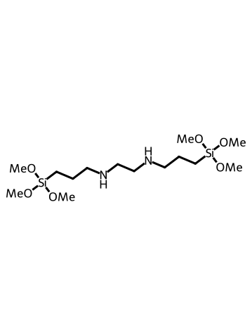 CO[Si](CCCNCCNCCC[Si](OC)(OC)OC)(OC)OC